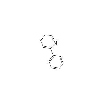 C1=NC(c2ccccc2)=CCC1